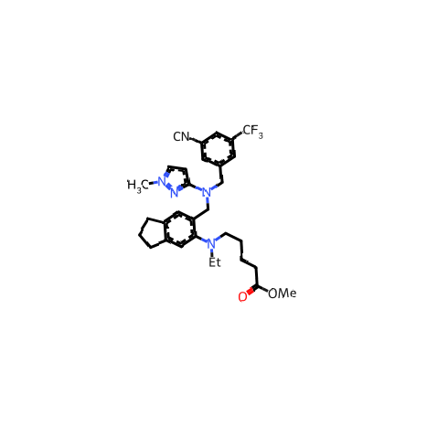 [C-]#[N+]c1cc(CN(Cc2cc3c(cc2N(CC)CCCCC(=O)OC)CCC3)c2ccn(C)n2)cc(C(F)(F)F)c1